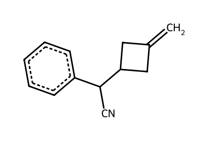 C=C1CC(C(C#N)c2ccccc2)C1